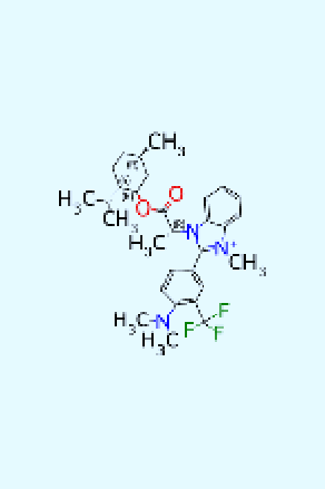 CC(C)[C@@H]1CC[C@@H](C)C[C@H]1OC(=O)[C@@H](C)n1c(-c2ccc(N(C)C)c(C(F)(F)F)c2)[n+](C)c2ccccc21